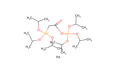 CC(C)O[PH](CC(=O)O[PH](OC(C)C)(OC(C)C)OC(C)C)(OC(C)C)OC(C)C.[Pd]